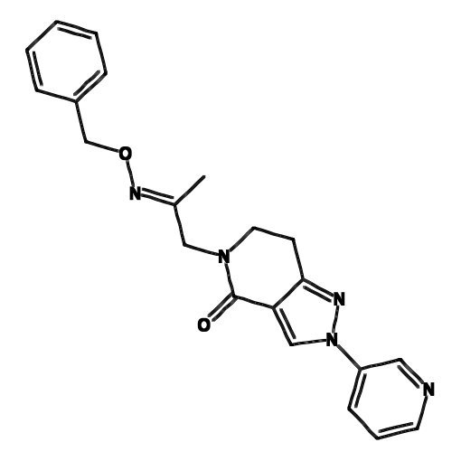 C/C(CN1CCc2nn(-c3cccnc3)cc2C1=O)=N\OCc1ccccc1